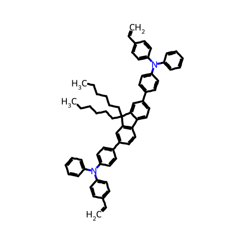 C=Cc1ccc(N(c2ccccc2)c2ccc(-c3ccc4c(c3)C(CCCCCC)(CCCCCC)c3cc(-c5ccc(N(c6ccccc6)c6ccc(C=C)cc6)cc5)ccc3-4)cc2)cc1